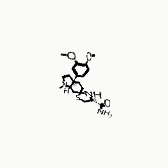 COc1ccc([C@]23CCN(C)[C@H]2CC2(CC3)N[C@H](C(N)=O)CS2)cc1OC